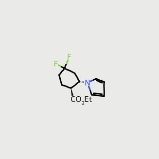 CCOC(=O)[C@H]1CCC(F)(F)C[C@@H]1n1cccc1